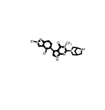 CCn1cc2c(Cl)c(-c3c[nH]c4nc(N5CC6CNC(C6)C5)n(C)c(=O)c34)ccc2n1